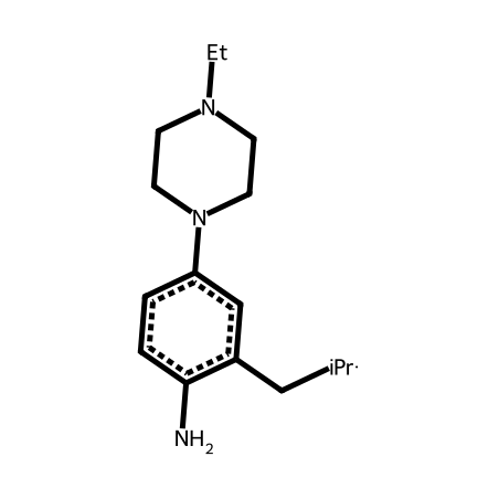 CCN1CCN(c2ccc(N)c(C[C](C)C)c2)CC1